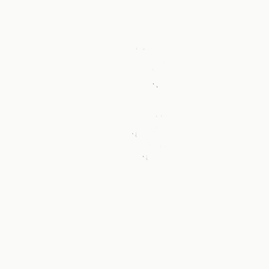 CC(C)(C)OC(=O)N1CCOC(CN2c3ccccc3N(c3ccccc3OC(F)(F)F)S2(=O)=O)C1